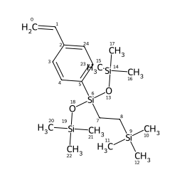 C=Cc1ccc([Si](CC[Si](C)(C)C)(O[Si](C)(C)C)O[Si](C)(C)C)cc1